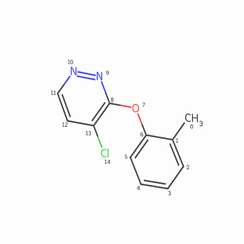 Cc1ccccc1Oc1nnccc1Cl